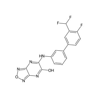 Oc1nc2nonc2nc1Nc1cccc(-c2ccc(F)c(C(F)F)c2)c1